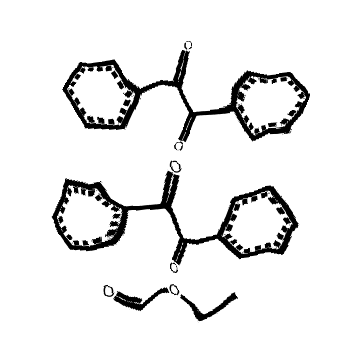 CCOC=O.O=C(C(=O)c1ccccc1)c1ccccc1.O=C(C(=O)c1ccccc1)c1ccccc1